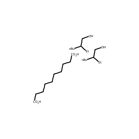 CCCCC(CC)CO.CCCCC(CC)CO.O=C(O)CCCCCCCCC(=O)O